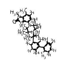 [2H]c1c([2H])c([2H])c(-c2c([2H])c([2H])c([2H])c(C([2H])(C)N3C([2H])([2H])C([2H])([2H])N(c4c([2H])c([2H])c(C)c5c4oc(=O)n5C)C(C)(C)C3([2H])C)c2[2H])c(C)c1[2H]